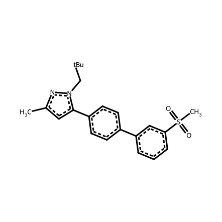 Cc1cc(-c2ccc(-c3cccc(S(C)(=O)=O)c3)cc2)n(CC(C)(C)C)n1